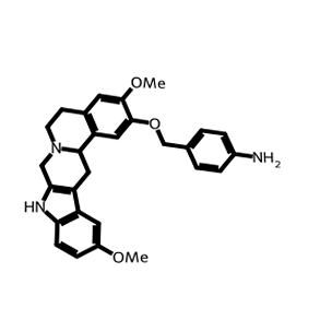 COc1ccc2[nH]c3c(c2c1)CC1c2cc(OCc4ccc(N)cc4)c(OC)cc2CCN1C3